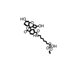 C=COP(=O)(O)OCCCCCCNC(=O)c1ccc2c(c1)C1(OC2=O)C2=C(CC(O)C=C2)Oc2cc(O)ccc21